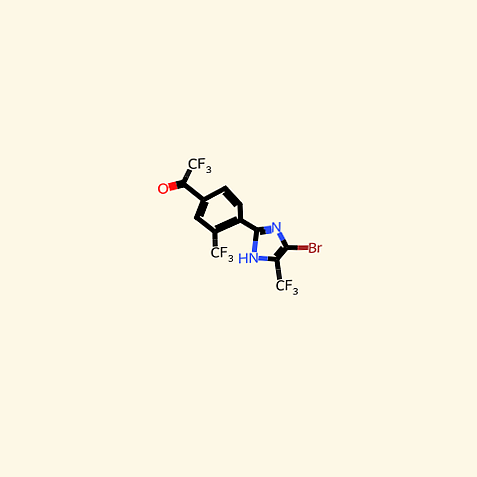 O=C(c1ccc(-c2nc(Br)c(C(F)(F)F)[nH]2)c(C(F)(F)F)c1)C(F)(F)F